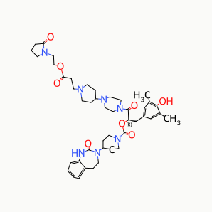 Cc1cc(C[C@@H](OC(=O)N2CCC(N3CCc4ccccc4NC3=O)CC2)C(=O)N2CCN(C3CCN(CCC(=O)OCCN4CCCC4=O)CC3)CC2)cc(C)c1O